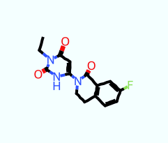 CCn1c(=O)cc(N2CCc3ccc(F)cc3C2=O)[nH]c1=O